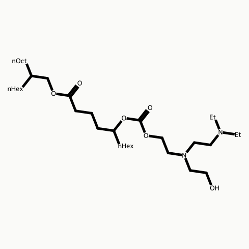 CCCCCCCCC(CCCCCC)COC(=O)CCCC(CCCCCC)OC(=O)OCCN(CCO)CCN(CC)CC